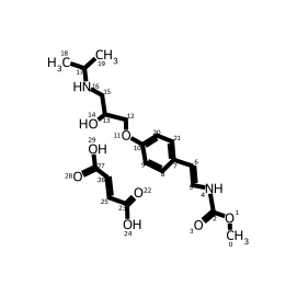 COC(=O)N/C=C/c1ccc(OCC(O)CNC(C)C)cc1.O=C(O)/C=C/C(=O)O